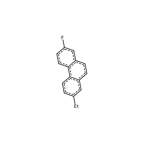 CCc1ccc2c(ccc3cc(F)ccc32)c1